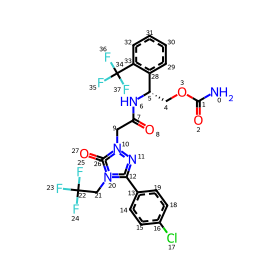 NC(=O)OC[C@H](NC(=O)Cn1nc(-c2ccc(Cl)cc2)n(CC(F)(F)F)c1=O)c1ccccc1C(F)(F)F